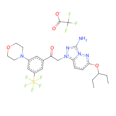 CCC(CC)Oc1ccc2n(n1)c(N)n[n+]2CC(=O)c1cc(N2CCOCC2)cc(S(F)(F)(F)(F)F)c1.O=C([O-])C(F)(F)F